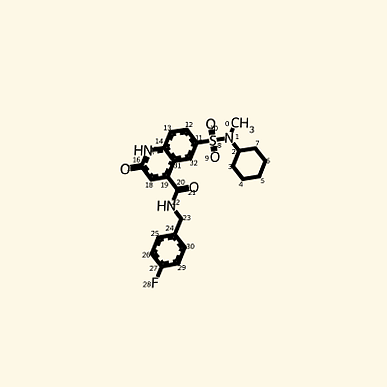 CN(C1CCCCC1)S(=O)(=O)c1ccc2[nH]c(=O)cc(C(=O)NCc3ccc(F)cc3)c2c1